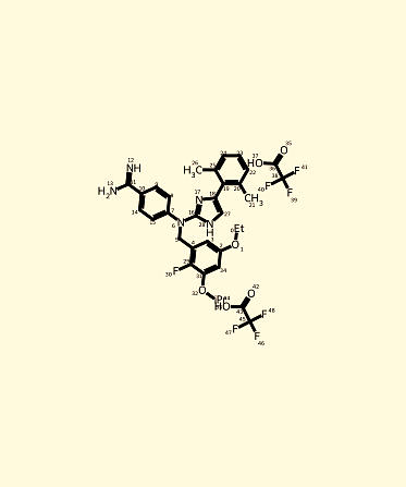 CCOc1cc(CN(c2ccc(C(=N)N)cc2)c2nc(-c3c(C)cccc3C)c[nH]2)c(F)c(OC(C)C)c1.O=C(O)C(F)(F)F.O=C(O)C(F)(F)F